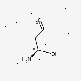 C=CC[C@H](N)O